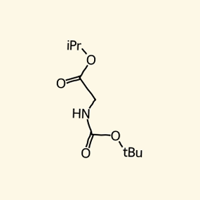 CC(C)OC(=O)CNC(=O)OC(C)(C)C